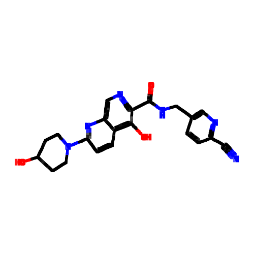 N#Cc1ccc(CNC(=O)c2ncc3nc(N4CCC(O)CC4)ccc3c2O)cn1